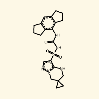 O=C(Nc1c2c(cc3c1CCC3)CCC2)NS(=O)(=O)c1cnn2c1NCC1(CC1)C2